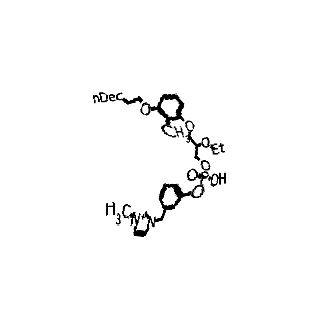 CCCCCCCCCCCCOc1cccc(OCC(COP(=O)(O)Oc2cccc(Cn3cc[n+](C)c3)c2)OCC)c1C